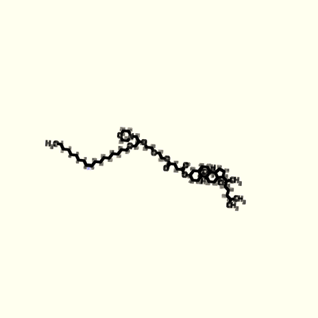 CCCCCCCC/C=C\CCCCCCCCOCC(CN1CCOCC1)OCCOCCOC(=O)CCC(=O)O[C@H]1CC[C@@]2(C)C(=CC[C@H]3C4CCC(C(C)CCCC(C)C)[C@@]4(C)CC[C@@H]32)C1